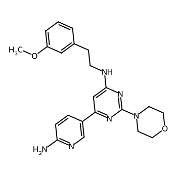 COc1cccc(CCNc2cc(-c3ccc(N)nc3)nc(N3CCOCC3)n2)c1